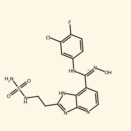 NS(=O)(=O)NCCc1nc2nccc(/C(=N\O)Nc3ccc(F)c(Cl)c3)c2[nH]1